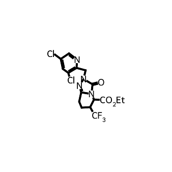 CCOC(=O)C1C(C(F)(F)F)CCc2nn(Cc3ncc(Cl)cc3Cl)c(=O)n21